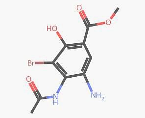 COC(=O)c1cc(N)c(NC(C)=O)c(Br)c1O